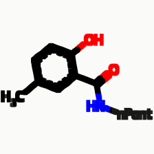 CCCCCNC(=O)c1cc(C)ccc1O